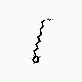 CCCCCCCCCCCCCCCCCCC1=[C]CC=C1